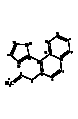 C=CCc1ccc2ccccc2c1-c1ncco1